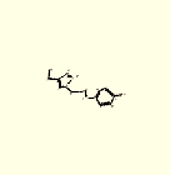 CCc1cn(CCOc2ccc(F)cc2)nn1